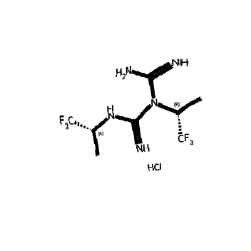 C[C@@H](NC(=N)N(C(=N)N)[C@H](C)C(F)(F)F)C(F)(F)F.Cl